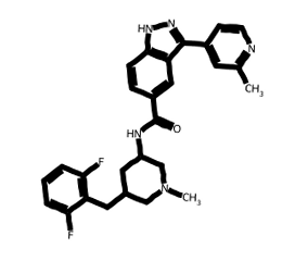 Cc1cc(-c2n[nH]c3ccc(C(=O)NC4CC(Cc5c(F)cccc5F)CN(C)C4)cc23)ccn1